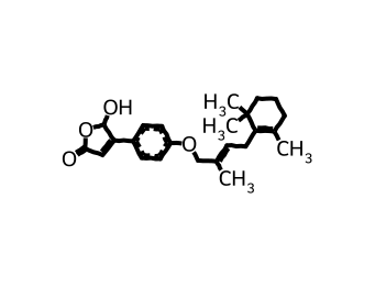 CC1=C(C/C=C(\C)COc2ccc(C3=CC(=O)OC3O)cc2)C(C)(C)CCC1